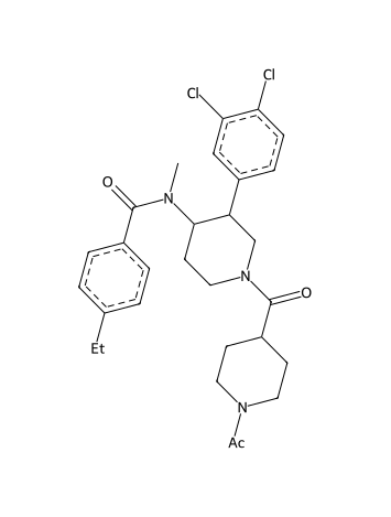 CCc1ccc(C(=O)N(C)C2CCN(C(=O)C3CCN(C(C)=O)CC3)CC2c2ccc(Cl)c(Cl)c2)cc1